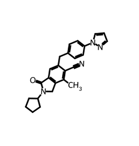 Cc1c(C#N)c(Cc2ccc(-n3cccn3)cc2)cc2c1CN(C1CCCC1)C2=O